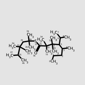 CCCC(C)C(C(C)C)C(C)(C)C(C)(C)C(=O)SC(C)(C)CC(C)(C)C(C)C